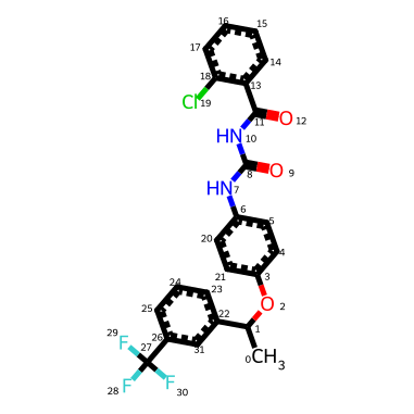 CC(Oc1ccc(NC(=O)NC(=O)c2ccccc2Cl)cc1)c1cccc(C(F)(F)F)c1